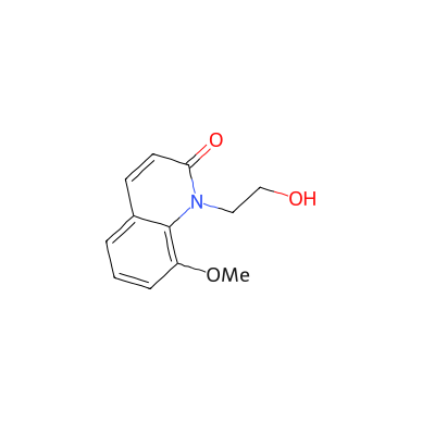 COc1cccc2ccc(=O)n(CCO)c12